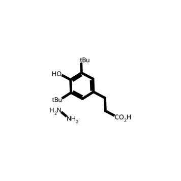 CC(C)(C)c1cc(CCC(=O)O)cc(C(C)(C)C)c1O.NN